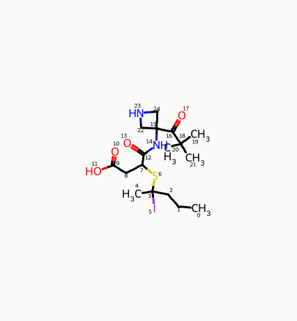 CCCC(C)(I)SC(CC(=O)O)C(=O)NC1(C(=O)C(C)(C)C)CNC1